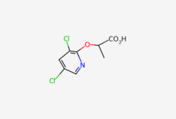 CC(Oc1ncc(Cl)cc1Cl)C(=O)O